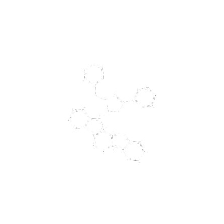 c1ccc(CN2N=C(c3ccccc3)NC2n2c3ccccc3c3ccc4c5ccccc5sc4c32)cc1